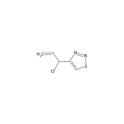 C=CC(Cl)c1csnn1